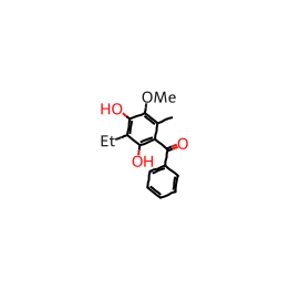 CCc1c(O)c(OC)c(C)c(C(=O)c2ccccc2)c1O